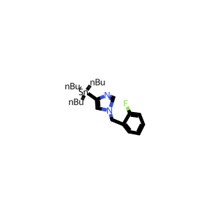 CCC[CH2][Sn]([CH2]CCC)([CH2]CCC)[c]1cn(Cc2ccccc2F)cn1